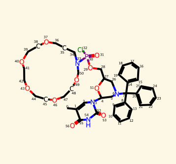 Cc1cn(C2CN(C(c3ccccc3)(c3ccccc3)c3ccccc3)CC(COP(=O)(Cl)N3CCCOCCOCCOCCOCCOC3)O2)c(=O)[nH]c1=O